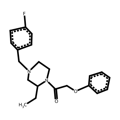 CCC1CN(Cc2ccc(F)cc2)CCN1C(=O)COc1ccccc1